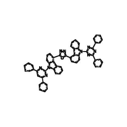 c1ccc(-c2cc(-c3ccccc3)nc(-n3c4ccccc4c4c(-c5nnc(-c6cccc7c6c6ccccc6n7-c6nc(-c7ccccc7)nc(-c7ccccc7)n6)o5)cccc43)n2)cc1